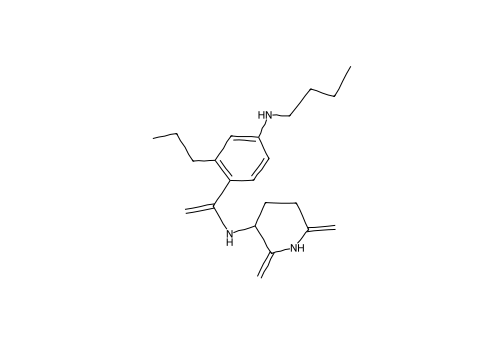 C=C1CCC(NC(=C)c2ccc(NCCCC)cc2CCC)C(=C)N1